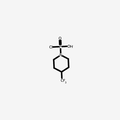 O=P(O)(Cl)N1CCC(C(F)(F)F)CC1